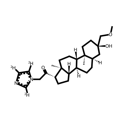 [2H]c1nc([2H])n(CC(=O)[C@H]2CC[C@H]3[C@@H]4CC[C@@H]5C[C@@](O)(COC)CC[C@]5(C)[C@H]4CC[C@]23C)c1[2H]